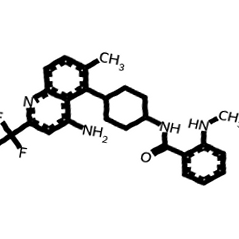 CNc1ccccc1C(=O)NC1CCC(c2c(C)ccc3nc(C(F)(F)F)cc(N)c23)CC1